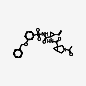 C=C[C@@H]1C[C@]1(NC(=O)C12CC1CN(C(C)=O)C2)C(=O)NS(=O)(=O)c1cccc(OCc2ccccc2)c1